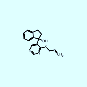 C=CCSc1ncncc1C1(O)CCc2ccccc21